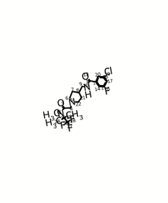 CN(C(=O)CN1CCC(CNC(=O)c2cc(F)cc(Cl)c2)CC1)C(C)(C)C(F)(F)F